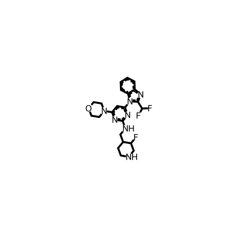 FC(F)c1nc2ccccc2n1-c1cc(N2CCOCC2)nc(NCC2CCNCC2F)n1